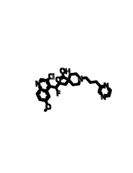 COc1ccc2ncc(Cl)c([C@H](F)CCC3(C(=O)O)CCN(CCCc4cnccn4)CC3)c2c1